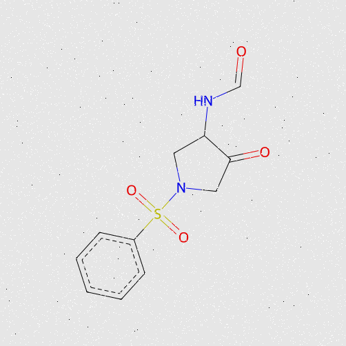 O=CNC1CN(S(=O)(=O)c2ccccc2)CC1=O